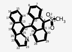 CS(=O)(=O)c1c2ccccc2c(-c2c3ccccc3cc3cccnc23)c2ccccc12